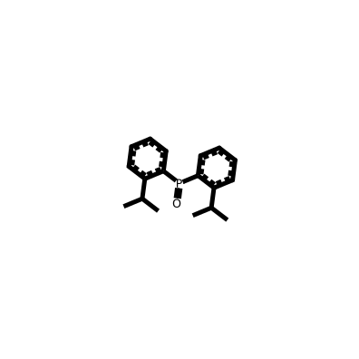 CC(C)c1ccccc1[P](=O)c1ccccc1C(C)C